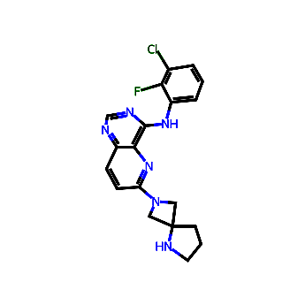 Fc1c(Cl)cccc1Nc1ncnc2ccc(N3CC4(CCCN4)C3)nc12